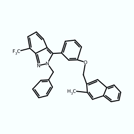 Cc1cc2ccccc2cc1COc1cccc(-c2c3cccc(C(F)(F)F)c3nn2Cc2ccccc2)c1